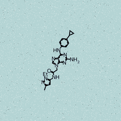 CCn1nc(C)cc1NC(=O)Cn1cnc2c(Nc3ccc(C4CC4)cc3)nc(N)nc21